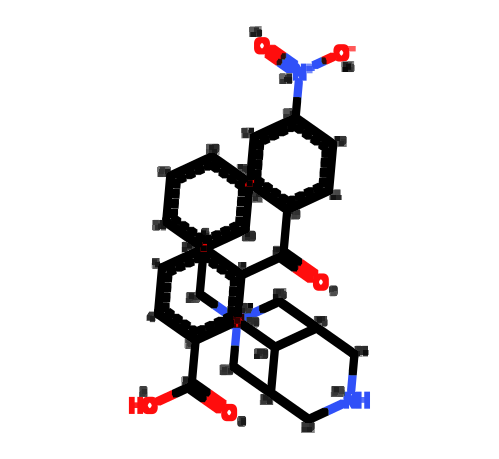 O=C(O)c1cccc(C(=O)c2ccc([N+](=O)[O-])cc2)c1C1C2CNCC1CN(Cc1ccccc1)C2